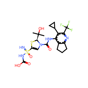 CC(C)(O)[C@@H]1SC([S@@](=N)(=O)NC(=O)O)=CN1C(=O)Nc1c2c(nc(C(F)(F)F)c1C1CC1)CCC2